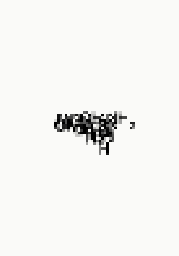 C[C@H]1CCc2cn([C@@H]3O[C@H](CO)[C@@H](OP(=O)(S)OCC4O[C@@H](n5cnc6c(N)ncnc65)[C@H](O[PH](=O)S)[C@@H]4O)[C@H]3O)c3ncnc(c23)O1